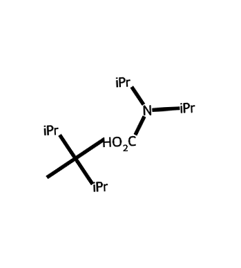 CC(C)C(C)(C)C(C)C.CC(C)N(C(=O)O)C(C)C